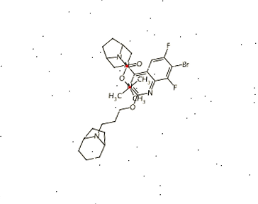 CC(C)(C)OC(=O)N1C2CCC1CN(c1nc(OCCCN3C4CCCC3CC4)nc3c(F)c(Br)c(F)cc13)C2